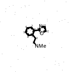 CNCCc1ccccc1-c1ncco1